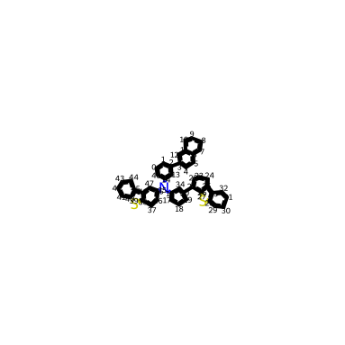 c1cc(-c2ccc3ccccc3c2)cc(N(c2cccc(-c3cccc4c3sc3ccccc34)c2)c2ccc3sc4ccccc4c3c2)c1